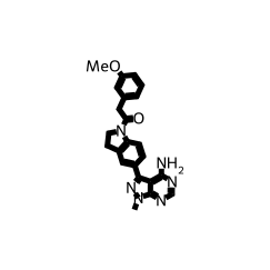 COc1cccc(CC(=O)N2CCc3cc(-c4nn(C)c5ncnc(N)c45)ccc32)c1